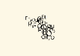 CCC(=O)OCC(=O)[C@@]1(OC(=O)CC)[C@@H](C)C[C@H]2[C@@H]3C[C@H](C)C4=CC(=O)C=C[C@]4(C)[C@@]3(Cl)[C@@H](O)C[C@@]21C